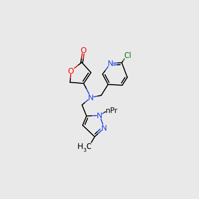 CCCn1nc(C)cc1CN(Cc1ccc(Cl)nc1)C1=CC(=O)OC1